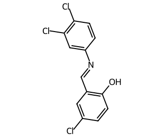 Oc1ccc(Cl)cc1C=Nc1ccc(Cl)c(Cl)c1